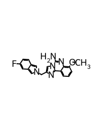 COc1cccc2c1nc(N)n1cc(Cn3cc4ccc(F)cc4c3)nc21